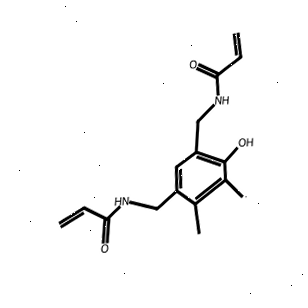 [CH2]c1c(C)c(CNC(=O)C=C)cc(CNC(=O)C=C)c1O